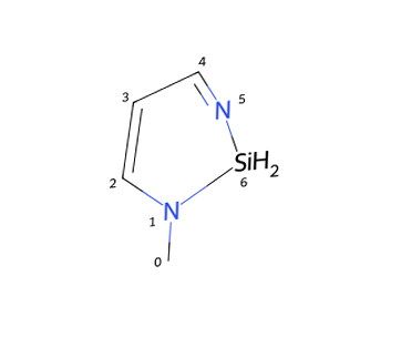 CN1C=CC=N[SiH2]1